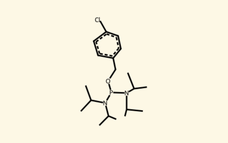 CC(C)N(C(C)C)P(OCc1ccc(Cl)cc1)N(C(C)C)C(C)C